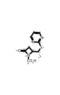 C[C@@H](Sc1ncccn1)C1CC(=O)N1C(=O)O